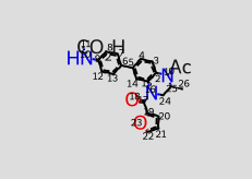 CC(=O)N1c2ccc(-c3ccc(NC(=O)O)cc3)cc2N(C(=O)c2ccco2)C[C@@H]1C